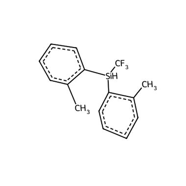 Cc1ccccc1[SiH](c1ccccc1C)C(F)(F)F